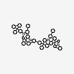 c1ccc(-c2ccc(N(c3cccc4c3-c3ccccc3C4(c3ccccc3)c3ccc(-c4ccc5c(c4)c4cccc6c4n5-c4ccccc4C64c5ccccc5-c5ccc(N(c6ccc(C7(c8ccccc8)c8ccccc8-c8ccccc87)cc6)c6cccc(-c7ccccc7)c6)cc54)cc3)c3cccc4c3-c3ccccc3C43c4ccccc4-n4c5ccccc5c5cccc3c54)cc2)cc1